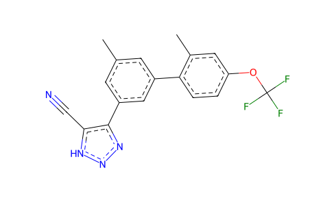 Cc1cc(-c2ccc(OC(F)(F)F)cc2C)cc(-c2nn[nH]c2C#N)c1